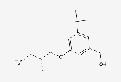 CC(C)(C)c1cc(CO)cc(OC[C@H](F)CN)c1